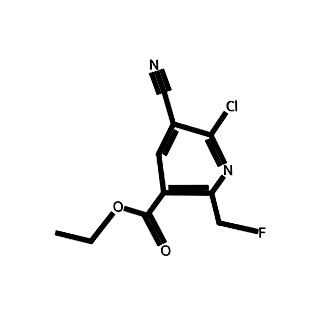 CCOC(=O)c1cc(C#N)c(Cl)nc1CF